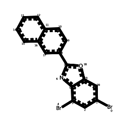 Brc1cc(Br)c2nc(-c3ccc4ccccc4c3)oc2c1